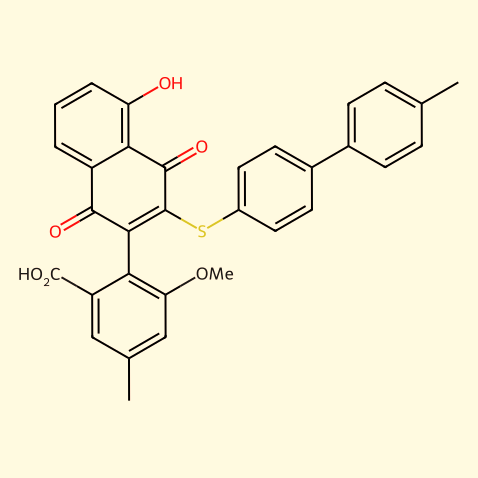 COc1cc(C)cc(C(=O)O)c1C1=C(Sc2ccc(-c3ccc(C)cc3)cc2)C(=O)c2c(O)cccc2C1=O